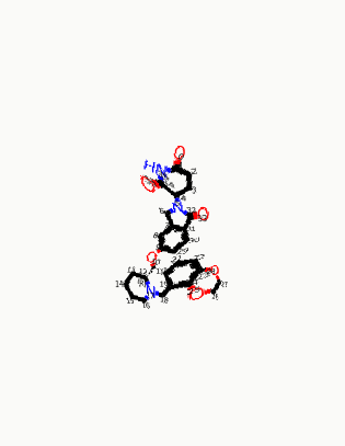 O=C1CCC(N2Cc3cc(OC[C@H]4CCCCN4Cc4cccc5c4OCCO5)ccc3C2=O)C(=O)N1